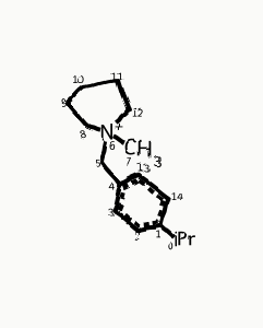 CC(C)c1ccc(C[N+]2(C)CCCCC2)cc1